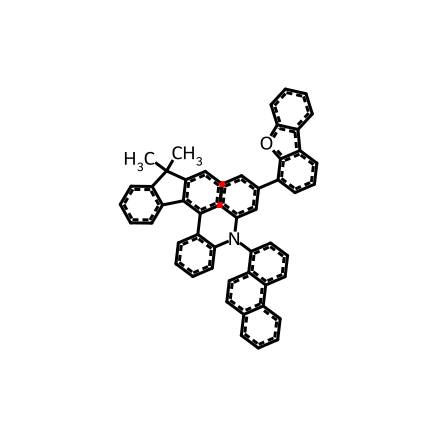 CC1(C)c2ccccc2-c2c(-c3ccccc3N(c3cccc(-c4cccc5c4oc4ccccc45)c3)c3cccc4c3ccc3ccccc34)cccc21